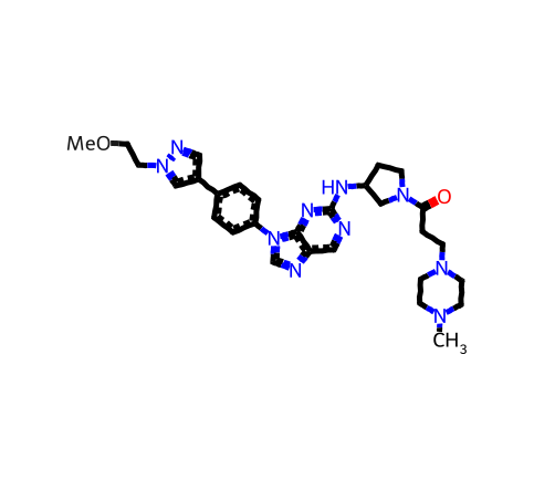 COCCn1cc(-c2ccc(-n3cnc4cnc(NC5CCN(C(=O)CCN6CCN(C)CC6)C5)nc43)cc2)cn1